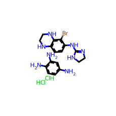 Brc1c(NC2=NCCN2)ccc2c1NCCN2.Cl.Cl.Nc1ccc(N)c(N)c1